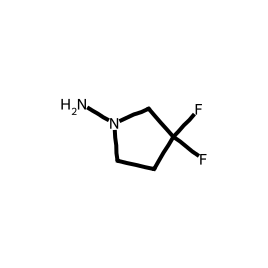 NN1CCC(F)(F)C1